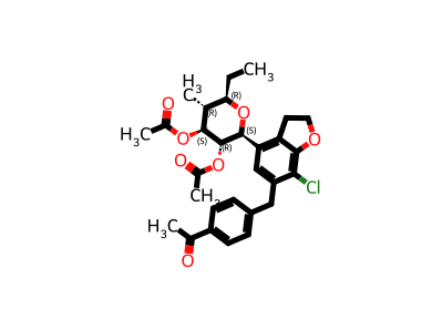 CC[C@H]1O[C@@H](c2cc(Cc3ccc(C(C)=O)cc3)c(Cl)c3c2CCO3)[C@H](OC(C)=O)[C@@H](OC(C)=O)[C@@H]1C